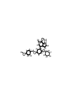 COc1ccc(COc2ccc(OC3CCCCC3)c(-c3cn(C)c(=O)c4[nH]ccc34)c2)cc1